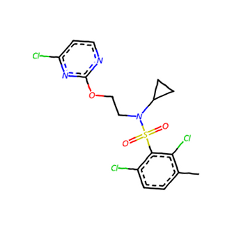 Cc1ccc(Cl)c(S(=O)(=O)N(CCOc2nccc(Cl)n2)C2CC2)c1Cl